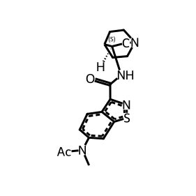 CC(=O)N(C)c1ccc2c(C(=O)N[C@@H]3CN4CCC3CC4)nsc2c1